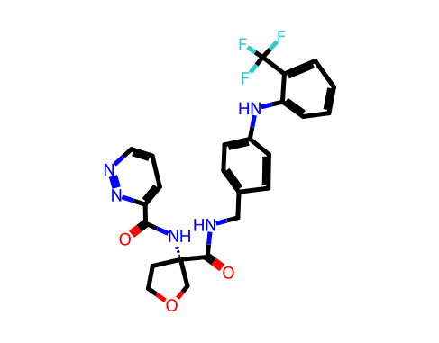 O=C(N[C@@]1(C(=O)NCc2ccc(Nc3ccccc3C(F)(F)F)cc2)CCOC1)c1cccnn1